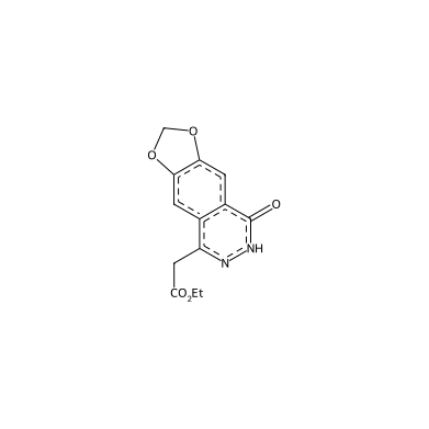 CCOC(=O)Cc1n[nH]c(=O)c2cc3c(cc12)OCO3